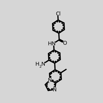 Cc1cc2nccn2cc1-c1ccc(NC(=O)c2ccc(Cl)cc2)cc1N